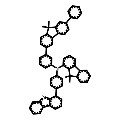 CC1(C)c2ccc(-c3cccc(N(c4ccc(-c5cccc6c5sc5ccccc56)cc4)c4cccc5c4C(C)(C)c4ccccc4-5)c3)cc2-c2ccc(-c3ccccc3)cc21